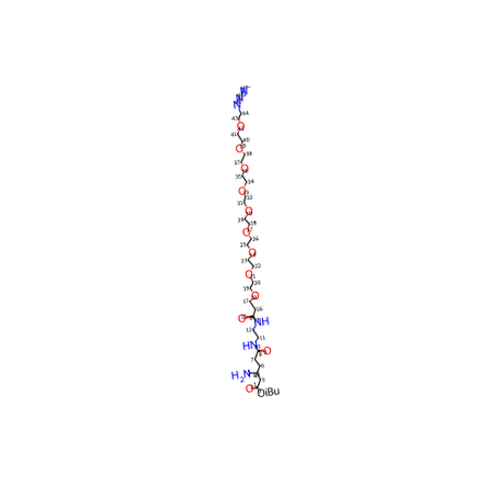 CC(C)COC(=O)C[C@@H](N)CCC(=O)NCCNC(=O)CCOCCOCCOCCOCCOCCOCCOCCOCCOCCN=[N+]=[N-]